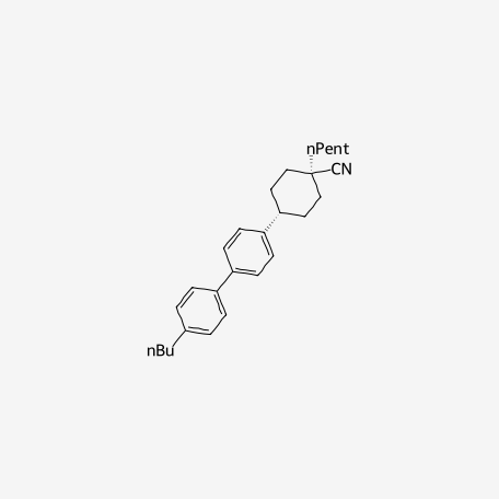 CCCCC[C@]1(C#N)CC[C@H](c2ccc(-c3ccc(CCCC)cc3)cc2)CC1